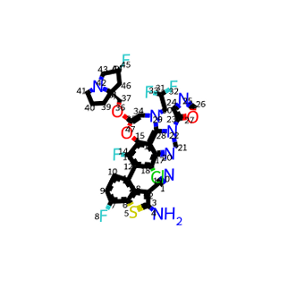 N#Cc1c(N)sc2c(F)ccc(-c3c(F)c4c5c(c3Cl)=NCN(c3cnco3)C=5N(CC(F)F)C=C(OC[C@@]35CCCN3C[C@H](F)C5)O4)c12